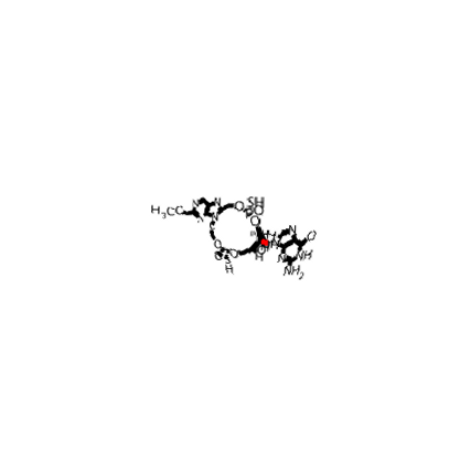 COCc1ncc2nc3n(c2n1)CCOP(=O)(S)OC[C@H]1O[C@@H](n2cnc4c(=O)[nH]c(N)nc42)[C@H](OP(=O)(S)OC3)[C@@H]1O